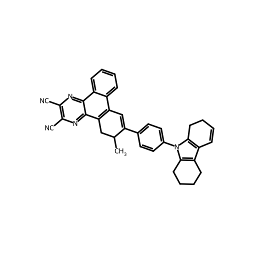 CC1Cc2c(c3ccccc3c3nc(C#N)c(C#N)nc23)C=C1c1ccc(-n2c3c(c4c2CCCC4)C=CCC3)cc1